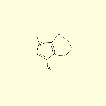 CC(=O)c1nn(C)c2c1CCCC2